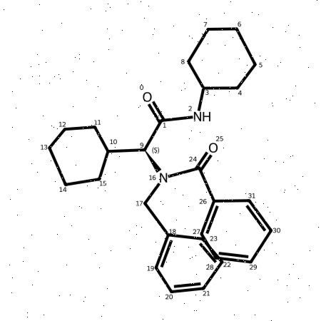 O=C(NC1CCCCC1)[C@H](C1CCCCC1)N(Cc1ccccc1)C(=O)c1ccccc1